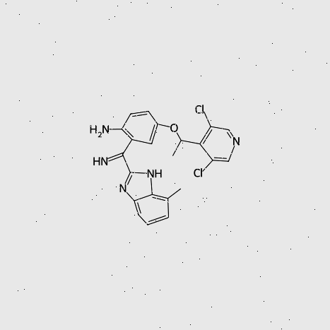 Cc1cccc2nc(C(=N)c3cc(OC(C)c4c(Cl)cncc4Cl)ccc3N)[nH]c12